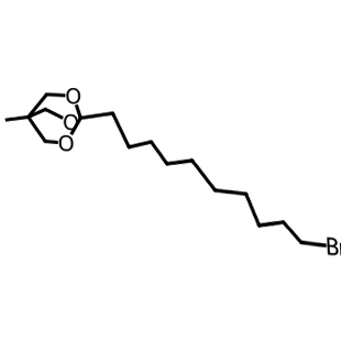 CC12COC(CCCCCCCCCCBr)(OC1)OC2